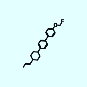 C/C=C/C1CCC(c2ccc(-c3ccc(OCF)cc3)cc2)CC1